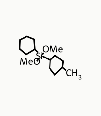 CO[Si](OC)(C1CCCCC1)C1CCC(C)CC1